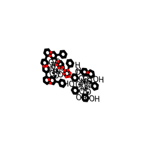 Oc1ccccc1ON1P(Oc2ccccc2O)N=P(Oc2ccccc2O)(Oc2ccccc2O)N(Oc2ccccc2O)P1Oc1ccccc1O.c1ccc(-c2ccccc2ON2P(Oc3ccccc3-c3ccccc3)N=P(Oc3ccccc3-c3ccccc3)(Oc3ccccc3-c3ccccc3)N(Oc3ccccc3-c3ccccc3)P2Oc2ccccc2-c2ccccc2)cc1